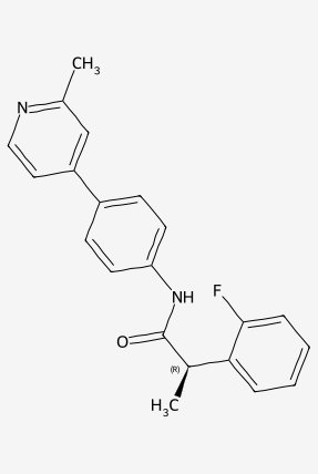 Cc1cc(-c2ccc(NC(=O)[C@H](C)c3ccccc3F)cc2)ccn1